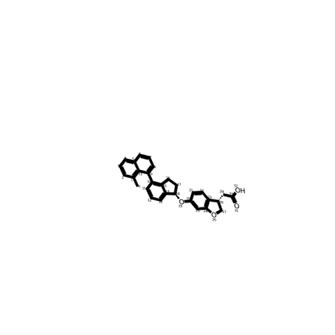 Cc1cccc2cccc(-c3cccc4c3CC[C@H]4Oc3ccc4c(c3)OC[C@H]4CC(=O)O)c12